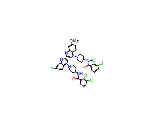 COc1ccc2c(N3CCC(NC(=O)c4cccc(Cl)c4Cl)CC3)ccnc2c1.O=C(NC1CCN(c2ccnc3cc(F)ccc23)CC1)c1cccc(Cl)c1Cl